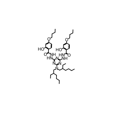 CCCCOc1ccc(C(=O)NNc2nc(NNC(=O)c3ccc(OCCCC)cc3O)nc(N(CC(CC)CCCC)CC(CC)CCCC)n2)c(O)c1